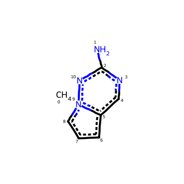 C.Nc1ncc2cccn2n1